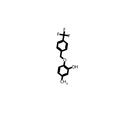 Cc1ccc(OCc2ccc(C(F)(F)F)cc2)c(O)c1